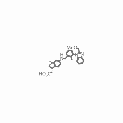 COCc1nc2ccccc2n1-c1cccc(CNc2ccc3c(c2)OC[C@H]3CC(=O)O)c1C